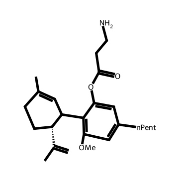 C=C(C)[C@@H]1CCC(C)=CC1c1c(OC)cc(CCCCC)cc1OC(=O)CCN